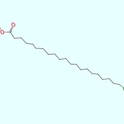 CCOC(=O)CCCCCCCCCCCCCCCCCCCCBr